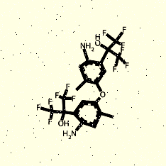 Cc1cc(N)c(C(O)(C(F)(F)F)C(F)(F)F)cc1Oc1cc(C(O)(C(F)(F)F)C(F)(F)F)c(N)cc1C